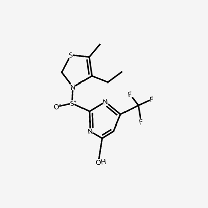 CCC1=C(C)SCN1[S+]([O-])c1nc(O)cc(C(F)(F)F)n1